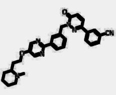 CN1CCCCC1CCOc1cnc(-c2cccc(Cn3nc(-c4cccc(C#N)c4)ccc3=O)c2)nc1